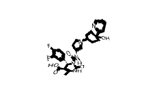 CC1=C(C(=O)O)[C@H](c2ccc(F)c(F)c2)N(C(=O)N[C@@H]2CCN(C3CCC(O)(c4ccccn4)CC3)C2)C(=O)N1